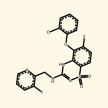 O=S1(=O)N=C(NCc2ncccc2F)Nc2c1ccc(F)c2Oc1ccccc1Cl